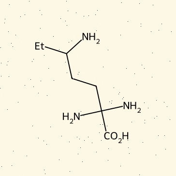 CCC(N)CCC(N)(N)C(=O)O